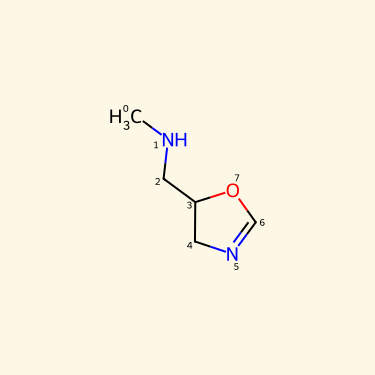 CNCC1CN=CO1